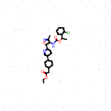 CCOC(=O)Cc1ccc(-c2ccc(-c3onc(C)c3NC(=O)OC(C)c3ccccc3Cl)nc2)cc1